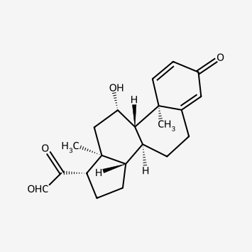 C[C@]12C[C@H](O)[C@H]3[C@@H](CCC4=CC(=O)C=C[C@@]43C)[C@@H]1CC[C@@H]2C(=O)C=O